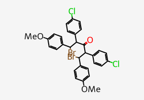 COc1ccc(C(Br)C(C(=O)C(c2ccc(Cl)cc2)C(Br)c2ccc(OC)cc2)c2ccc(Cl)cc2)cc1